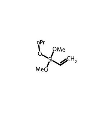 C=C[Si](OC)(OC)OCCC